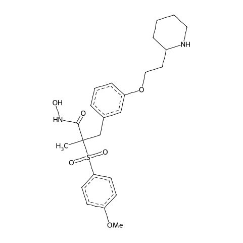 COc1ccc(S(=O)(=O)C(C)(Cc2cccc(OCCC3CCCCN3)c2)C(=O)NO)cc1